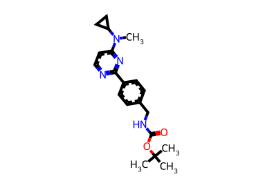 CN(c1ccnc(-c2ccc(CNC(=O)OC(C)(C)C)cc2)n1)C1CC1